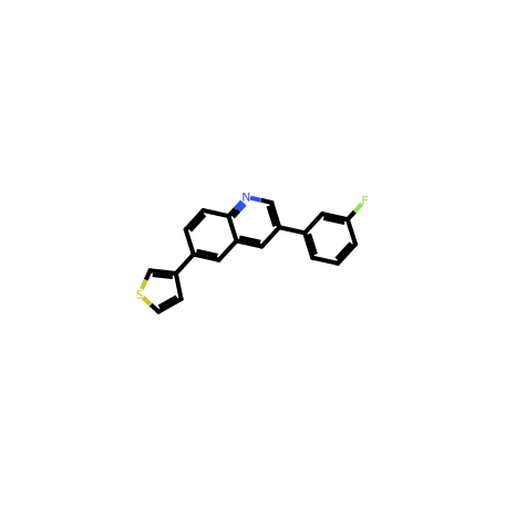 Fc1cccc(-c2cnc3ccc(-c4ccsc4)cc3c2)c1